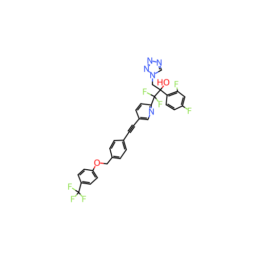 OC(Cn1cnnn1)(c1ccc(F)cc1F)C(F)(F)c1ccc(C#Cc2ccc(COc3ccc(C(F)(F)F)cc3)cc2)cn1